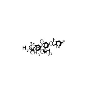 Cc1c[n+](N(C)C)c(Br)cc1-n1c(C)cc(OCc2ncc(F)cc2F)cc1=O